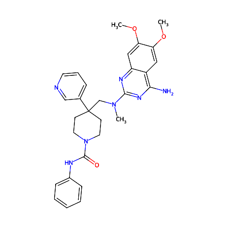 COc1cc2nc(N(C)CC3(c4cccnc4)CCN(C(=O)Nc4ccccc4)CC3)nc(N)c2cc1OC